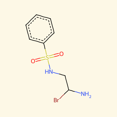 NC(Br)CNS(=O)(=O)c1ccccc1